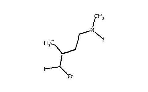 CCC(I)C(C)CCN(C)I